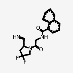 N=CC1CC(F)(F)CN1C(=O)CNC(=O)c1cccc2ccccc12